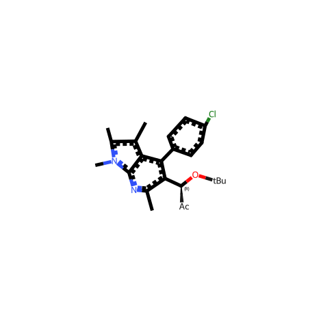 CC(=O)[C@H](OC(C)(C)C)c1c(C)nc2c(c(C)c(C)n2C)c1-c1ccc(Cl)cc1